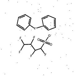 O=S(=O)([O-])C(F)C(F)C(F)C(F)F.c1ccc([I+]c2ccccc2)cc1